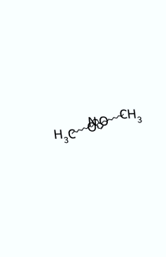 CCCCCCCCOc1cccc2c(OCCCCCCCC)nccc12